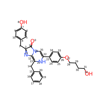 O=c1c(Cc2ccc(O)cc2)nc2c(Cc3ccccc3)[nH]c(-c3ccc(OCCCCO)cc3)cn1-2